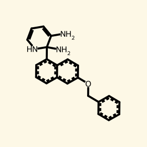 NC1=CC=CNC1(N)c1cccc2cc(OCc3ccccc3)ccc12